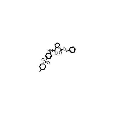 CC1CCN(S(=O)(=O)c2ccc(NC(=O)C3CCCN3C(=O)OCc3ccccc3)cc2)CC1